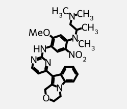 COc1cc(N(C)C(C)CN(C)C)c([N+](=O)[O-])cc1Nc1nccc(-c2c3n(c4ccccc24)CCOC3)n1